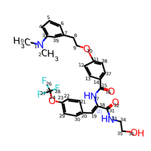 CN(C)c1cccc(CCOc2ccc(C(=O)N/C(=C\c3ccc(OC(F)(F)F)cc3)C(=O)NCCO)cc2)c1